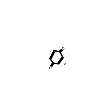 O=C1C=CC(=O)C=C1.[V]